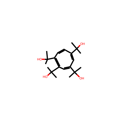 CC(C)(O)C1=CC(C(C)(C)O)=CC(C(C)(C)O)=C(C(C)(C)O)C=C1